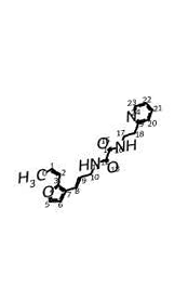 C/C=C\c1occc1/C=C/CNC(=O)C(=O)NCCc1ccccn1